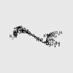 CCN1/C(=C/C=C/C=C/C2=[N+](CCCCCC(=O)NCCOCCOCCOCCOCCC(=O)NCC(C)(C)SSCO[C@@H]3C[C@H](n4cnc5c(N)ncnc54)O[C@@H]3COP(=O)(O)O[PH](=O)O)c3ccc(S(=O)(=O)O)cc3C2(C)C)C(C)(C)c2cc(S(=O)(=O)O)ccc21